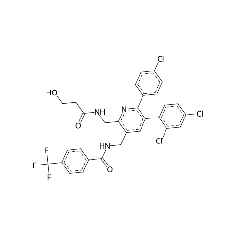 O=C(CCO)NCc1nc(-c2ccc(Cl)cc2)c(-c2ccc(Cl)cc2Cl)cc1CNC(=O)c1ccc(C(F)(F)F)cc1